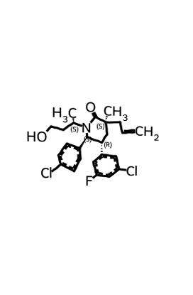 C=CC[C@@]1(C)C[C@H](c2cc(F)cc(Cl)c2)[C@@H](c2ccc(Cl)cc2)N([C@@H](C)CCO)C1=O